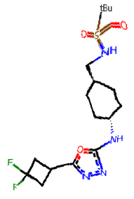 CC(C)(C)S(=O)(=O)NC[C@H]1CC[C@H](Nc2nnc(C3CC(F)(F)C3)o2)CC1